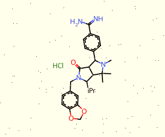 CC(C)C1C2C(C(=O)N1Cc1ccc3c(c1)OCO3)C(c1ccc(C(=N)N)cc1)N(C)C2(C)C.Cl